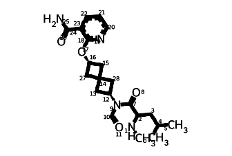 CNC(CC(C)C)C(=O)N(C=O)[C@H]1CC2(C[C@H](Oc3ncccc3C(N)=O)C2)C1